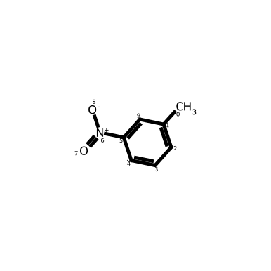 Cc1cc[c]c([N+](=O)[O-])c1